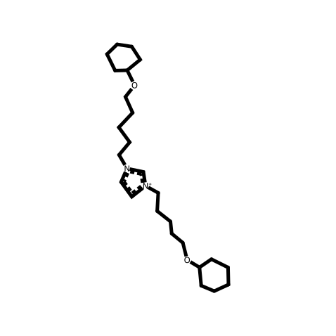 c1c[n+](CCCCCOC2CCCCC2)cn1CCCCCOC1CCCCC1